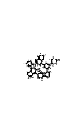 c1ccc(-c2cc(-c3ccccc3)cc(-c3nc(-n4c5cccnc5c5c6ccccc6c6c7ccccc7sc6c54)nc4ccccc34)c2)cc1